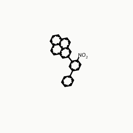 O=[N+]([O-])c1ccc(-c2ccccc2)cc1-c1cc2ccc3cccc4ccc(c1)c2c34